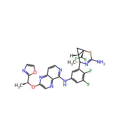 C[C@H](Oc1cnc2c(Nc3cc(F)c(F)c([C@]4(C)N=C(N)S[C@@]5(C(F)F)C[C@@H]45)c3)nccc2n1)c1ncco1